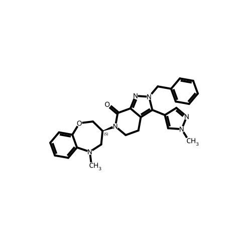 CN1C[C@H](N2CCc3c(nn(Cc4ccccc4)c3-c3cnn(C)c3)C2=O)COc2ccccc21